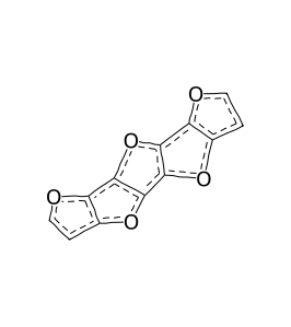 c1cc2oc3c(oc4c5occc5oc43)c2o1